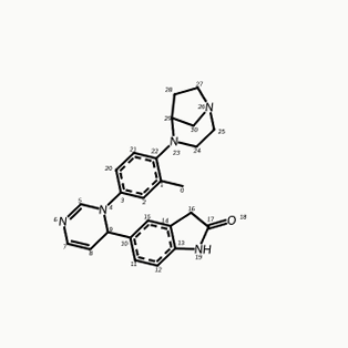 Cc1cc(N2C=NC=CC2c2ccc3c(c2)CC(=O)N3)ccc1N1CCN2CCC1C2